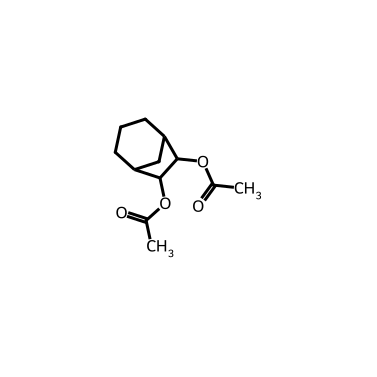 CC(=O)OC1C2CCCC(C2)C1OC(C)=O